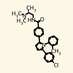 Cc1ccccc1-n1c(-c2ccc(Cl)cc2)ccc1-c1ccc(C(=O)NC[C@H](C)N(C)C)cc1